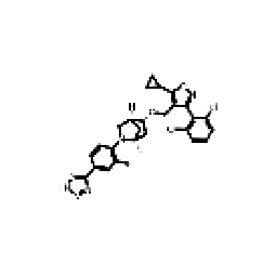 Fc1cc(-c2nn[nH]n2)ccc1N1C[C@@H]2C[C@H]1C[C@H]2OCc1c(-c2c(Cl)cccc2Cl)noc1C1CC1